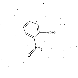 O=[PH2]c1ccccc1O